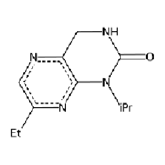 CCc1cnc2c(n1)N(C(C)C)C(=O)NC2